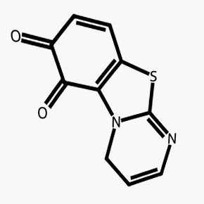 O=C1C=CC2=C(C1=O)N1CC=CN=C1S2